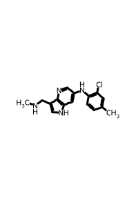 CNCc1c[nH]c2cc(Nc3ccc(C)cc3Cl)cnc12